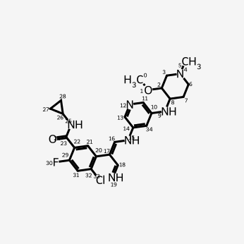 COC1CN(C)CCC1Nc1cncc(N/C=C(\C=N)c2cc(C(=O)NC3CC3)c(F)cc2Cl)c1